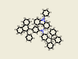 c1ccc(-c2c(-c3ccc(N(c4ccc5c(c4)C(c4ccccc4)(c4ccccc4)c4ccccc4-5)c4cccc5c4c4ccccc4n5-c4ccccc4)cc3)c3ccccc3c3ccccc23)cc1